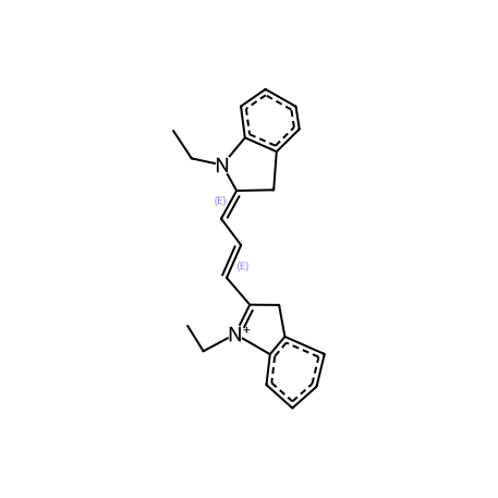 CCN1/C(=C/C=C/C2=[N+](CC)c3ccccc3C2)Cc2ccccc21